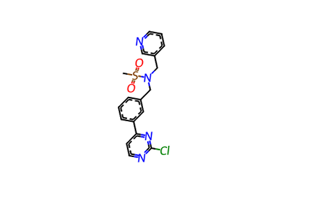 CS(=O)(=O)N(Cc1cccnc1)Cc1cccc(-c2ccnc(Cl)n2)c1